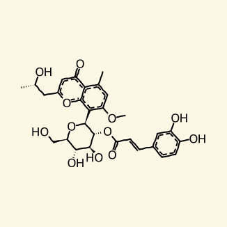 COc1cc(C)c2c(=O)cc(C[C@H](C)O)oc2c1[C@@H]1O[C@H](CO)[C@@H](O)[C@H](O)[C@H]1OC(=O)/C=C/c1ccc(O)c(O)c1